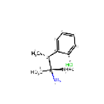 CC(=O)N[C@@](N)(C(=O)O)[C@H](C)c1ccccc1.Cl